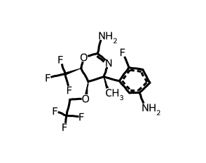 C[C@]1(c2cc(N)ccc2F)N=C(N)O[C@H](C(F)(F)F)[C@@H]1OCC(F)(F)F